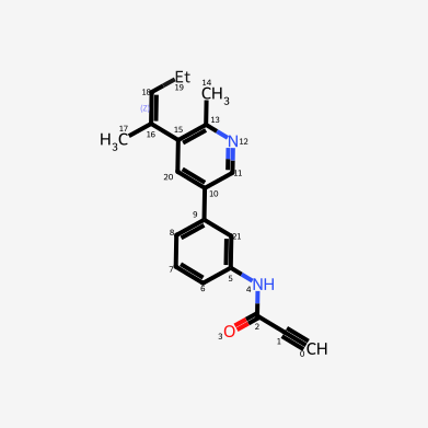 C#CC(=O)Nc1cccc(-c2cnc(C)c(/C(C)=C\CC)c2)c1